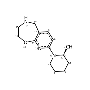 C[C@H]1CCCCN1c1ccc2c(n1)OCCNC2